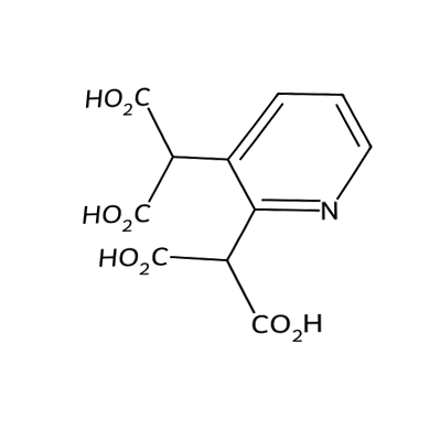 O=C(O)C(C(=O)O)c1cccnc1C(C(=O)O)C(=O)O